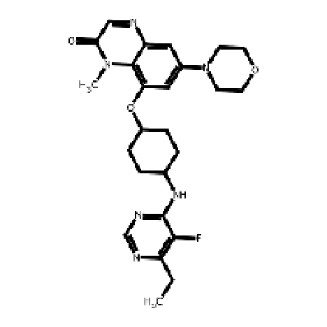 CCc1ncnc(NC2CCC(Oc3cc(N4CCOCC4)cc4ncc(=O)n(C)c34)CC2)c1F